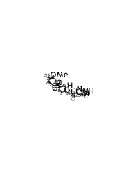 COc1cc(S(=O)(=O)c2ccc(CNC(=O)c3cnc4[nH]ncc4c3)cc2)ccc1C